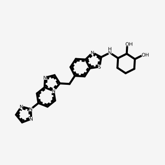 OC1CCCC(Nc2nc3ccc(Cc4cnc5cc(-n6nccn6)ccn45)cc3s2)C1O